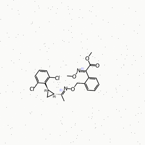 CO/N=C(/C(=O)OC)c1ccccc1CO/N=C(\C)[C@@H]1C[C@H]1c1c(Cl)cccc1Cl